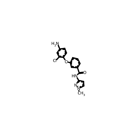 Cn1ccc(NC(=O)c2cccc(Oc3ccc(N)cc3Cl)c2)n1